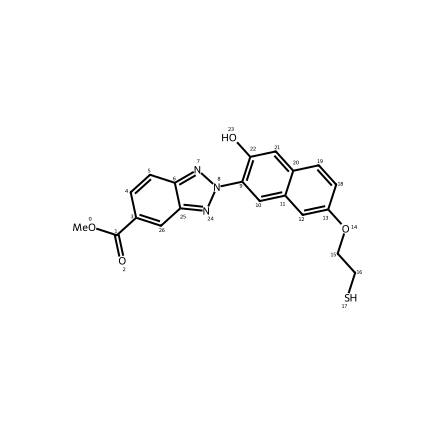 COC(=O)c1ccc2nn(-c3cc4cc(OCCS)ccc4cc3O)nc2c1